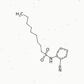 CCCCCCCCCS(=O)(=O)Nc1ccccc1C#N